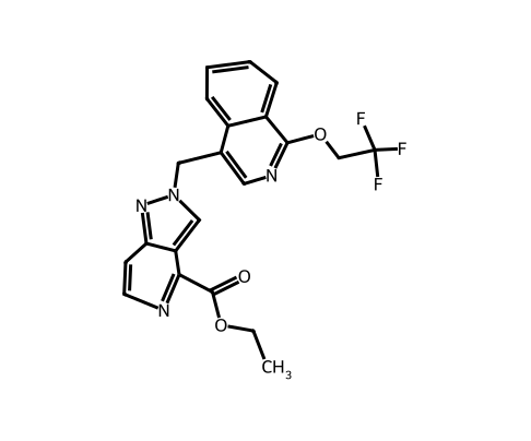 CCOC(=O)c1nccc2nn(Cc3cnc(OCC(F)(F)F)c4ccccc34)cc12